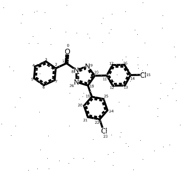 O=C(c1ccccc1)n1nc(-c2ccc(Cl)cc2)c(-c2ccc(Cl)cc2)n1